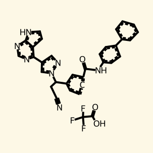 N#CCC(c1cccc(C(=O)Nc2ccc(-c3ccccc3)cc2)c1)n1cc(-c2ncnc3[nH]ccc23)cn1.O=C(O)C(F)(F)F